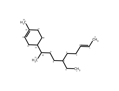 C/C=C/CCC(CC)CCC(C)C1CC=C(C)CC1